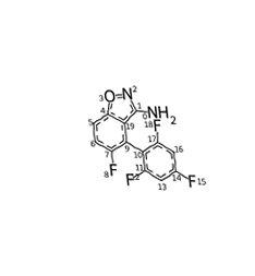 Nc1noc2ccc(F)c(-c3c(F)cc(F)cc3F)c12